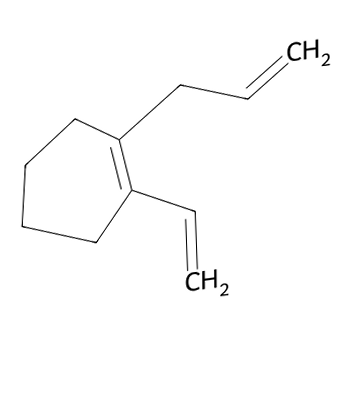 C=CCC1=C(C=C)CCCC1